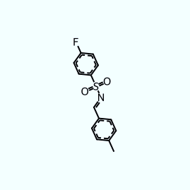 Cc1ccc(/C=N/S(=O)(=O)c2ccc(F)cc2)cc1